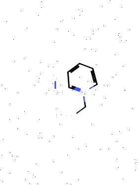 NN.O=C(O)C[n+]1ccccc1.[Cl-]